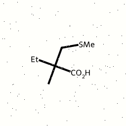 CCC(C)(CSC)C(=O)O